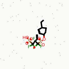 C=CC(F)(C(F)(F)S(=O)(=O)O)C(F)(F)S(=O)(=O)OC1C=CC(CC)CC1